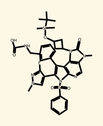 Cn1cc(-c2c(-c3cccc(CNC(=O)O)c3)c3c(ncc4c3n(C3CC(O[Si](C)(C)C(C)(C)C)C3)c(=O)n4C)n2S(=O)(=O)c2ccccc2)c(F)n1